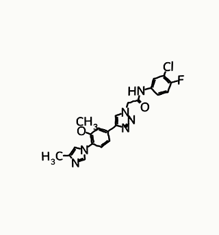 COc1cc(-c2cn(CC(=O)Nc3ccc(F)c(Cl)c3)nn2)ccc1-n1cnc(C)c1